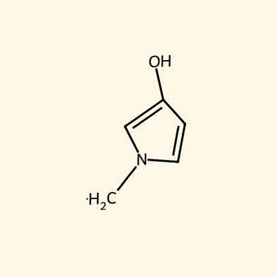 [CH2]n1ccc(O)c1